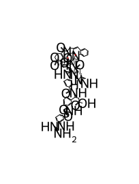 CC[C@@]1(OC(=O)[C@@H](NC(=O)[C@H](Cc2c[nH]cn2)NC(=S)Nc2ccc(C(=O)NC(CC(=O)O)c3cccc(NS(=O)(=O)c4cccc(NC(=N)N)c4)c3)cc2)C(C)C)C(=O)OCc2c1cc1n(c2=O)Cc2cc3ccccc3nc2-1